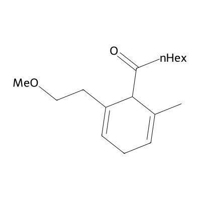 CCCCCCC(=O)C1C(C)=CCC=C1CCOC